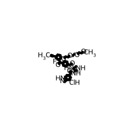 CC#Cc1ccc(OCCOCCOCCOC)c(C(=O)c2ccc(C(=O)N[C@@H]3CNC[C@H]3NC(=O)c3ccc4cn[nH]c4c3)cc2)c1F.Cl